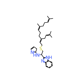 CC(C)=CCCC(C)=CCCC(=CCSCC(NC1=NC=CC1)c1nc2ccccc2[nH]1)CC=C(C)C